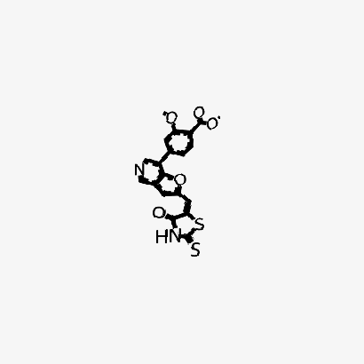 COC(=O)c1ccc(-c2cncc3cc(C=C4SC(=S)NC4=O)oc23)cc1OC